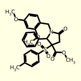 COC(=O)C1(S(=O)(=O)c2ccc(C)cc2)CC(=O)N(Cc2ccc(OC)cc2OC)C1c1ccccc1